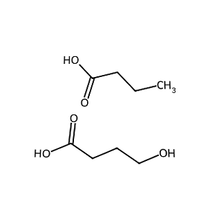 CCCC(=O)O.O=C(O)CCCO